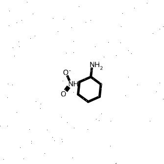 NC1CCCCC1.O=[NH+][O-]